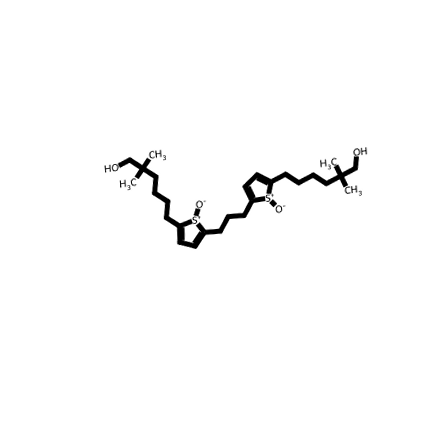 CC(C)(CO)CCCCc1ccc(CCCc2ccc(CCCCC(C)(C)CO)[s+]2[O-])[s+]1[O-]